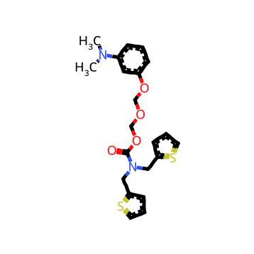 CN(C)c1cccc(OCOCOC(=O)N(Cc2cccs2)Cc2cccs2)c1